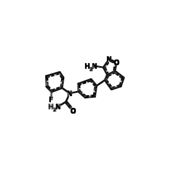 NC(=O)N(c1ccc(-c2cccc3onc(N)c23)cc1)c1ccccc1F